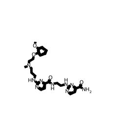 COc1ccccc1OCCN(C)CCCNc1nccc(C(=O)NCCNc2nccc(C(N)=O)n2)n1